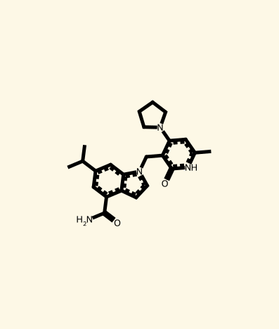 Cc1cc(N2CCCC2)c(Cn2ccc3c(C(N)=O)cc(C(C)C)cc32)c(=O)[nH]1